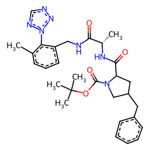 Cc1cccc(CNC(=O)[C@H](C)NC(=O)C2CC(Cc3ccccc3)CN2C(=O)OC(C)(C)C)c1-n1ncnn1